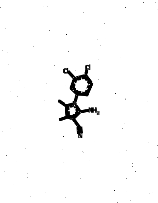 Cc1c(C#N)c(N)n(-c2ccc(Cl)c(Cl)c2)c1C